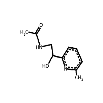 CC(=O)NCC(O)c1cccc(C)n1